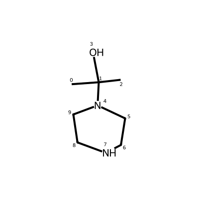 CC(C)(O)N1CCNCC1